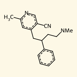 CNCCC(Cc1cc(C)ncc1C#N)c1ccccc1